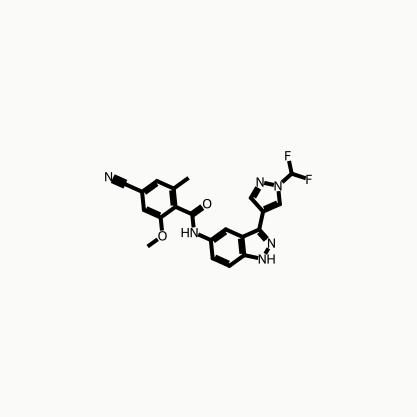 COc1cc(C#N)cc(C)c1C(=O)Nc1ccc2[nH]nc(-c3cnn(C(F)F)c3)c2c1